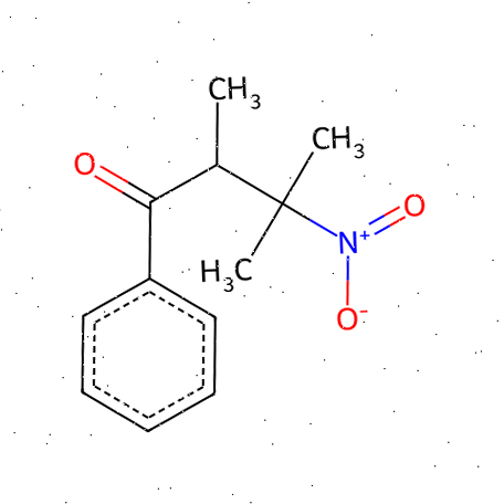 CC(C(=O)c1ccccc1)C(C)(C)[N+](=O)[O-]